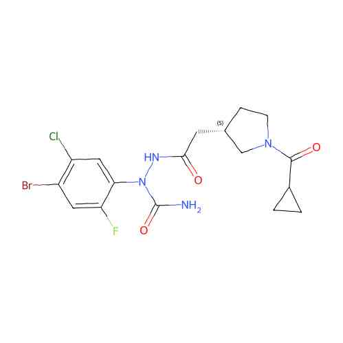 NC(=O)N(NC(=O)C[C@@H]1CCN(C(=O)C2CC2)C1)c1cc(Cl)c(Br)cc1F